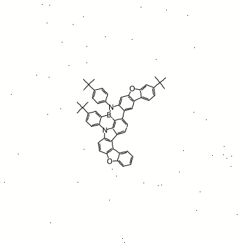 CC(C)(C)c1ccc(N2B3c4cc(C(C)(C)C)ccc4-n4c5ccc6oc7ccccc7c6c5c5ccc(c3c54)-c3cc4c(cc32)oc2cc(C(C)(C)C)ccc24)cc1